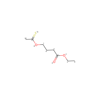 CCOC(=O)CCCOC(C)=S